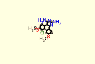 COc1ccc(-c2nc(N)nc(N)c2-c2ccc(OC)c(Cl)c2)cc1